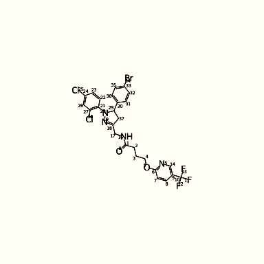 O=C(CCCOc1ccc(C(F)(F)F)cn1)NCC1=NN(c2ccc(Cl)cc2Cl)C(c2ccc(Br)cc2)C1